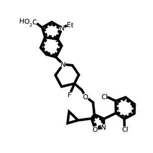 CCn1cc(C(=O)O)c2ccc(N3CCC(F)(COCc4c(-c5c(Cl)cccc5Cl)noc4C4CC4)CC3)cc21